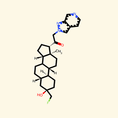 C[C@]12CC[C@H]3C(CC[C@H]4C[C@@](O)(CF)CC[C@@H]43)[C@@H]1CC[C@@H]2C(=O)Cn1cc2ccncc2n1